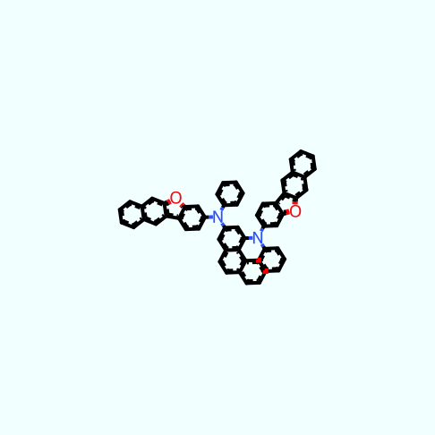 c1ccc(N(c2cc(N(c3ccccc3)c3ccc4c(c3)oc3cc5ccccc5cc34)c3c(ccc4ccccc43)c2)c2ccc3c(c2)oc2cc4ccccc4cc23)cc1